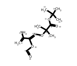 C=C(N)/C(=N/OC(C)(C)C(=O)OC(C)(C)C)OC=O